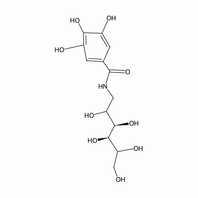 O=C(NCC(O)[C@@H](O)[C@H](O)C(O)CO)c1cc(O)c(O)c(O)c1